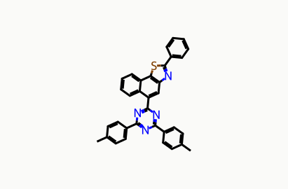 Cc1ccc(-c2nc(-c3ccc(C)cc3)nc(-c3cc4nc(-c5ccccc5)sc4c4ccccc34)n2)cc1